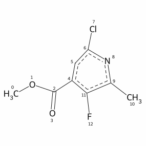 COC(=O)c1cc(Cl)nc(C)c1F